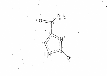 NC(=O)c1c[nH]c([O])n1